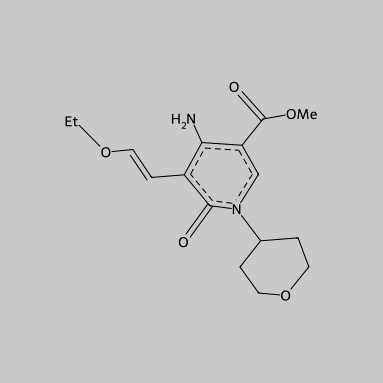 CCOC=Cc1c(N)c(C(=O)OC)cn(C2CCOCC2)c1=O